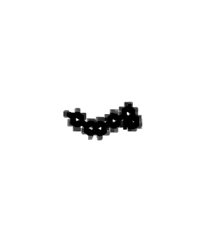 Cc1ccc(-c2ccc3ccc(-c4ccc(-c5cccc6cccnc56)cc4)cc3c2)cc1